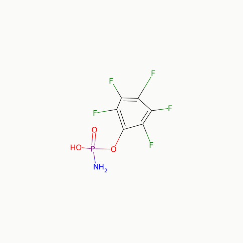 NP(=O)(O)Oc1c(F)c(F)c(F)c(F)c1F